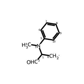 [CH2]C(C=O)N(C)c1ccccc1